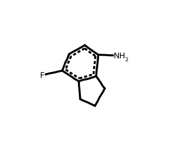 Nc1ccc(F)c2c1CCC2